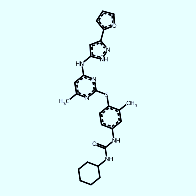 Cc1cc(Nc2cc(-c3ccco3)n[nH]2)nc(Sc2ccc(NC(=O)NC3CCCCC3)cc2C)n1